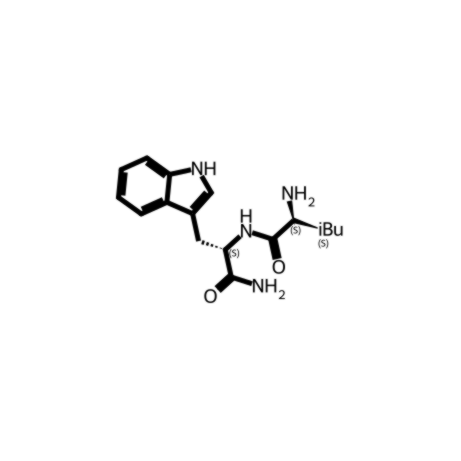 CC[C@H](C)[C@H](N)C(=O)N[C@@H](Cc1c[nH]c2ccccc12)C(N)=O